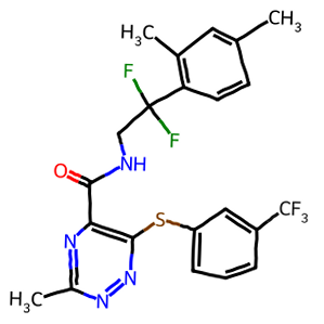 Cc1ccc(C(F)(F)CNC(=O)c2nc(C)nnc2Sc2cccc(C(F)(F)F)c2)c(C)c1